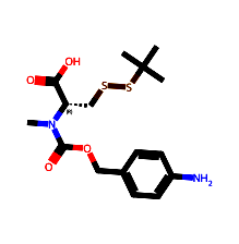 CN(C(=O)OCc1ccc(N)cc1)[C@@H](CSSC(C)(C)C)C(=O)O